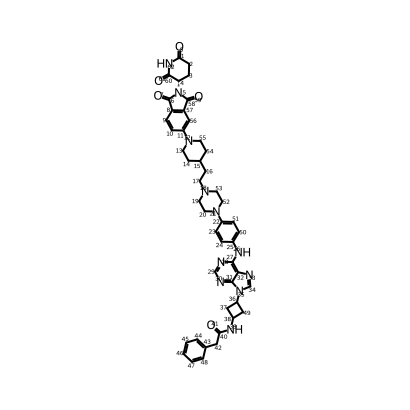 O=C1CC[C@H](N2C(=O)c3ccc(N4CCC(CCN5CCN(c6ccc(Nc7ncnc8c7ncn8C7CC(NC(=O)Cc8ccccc8)C7)cc6)CC5)CC4)cc3C2=O)C(=O)N1